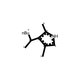 CCCCC(C)c1c(C)c[nH]c1C